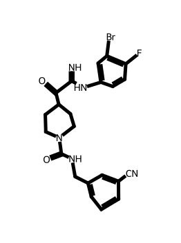 N#Cc1cccc(CNC(=O)N2CCC(C(=O)C(=N)Nc3ccc(F)c(Br)c3)CC2)c1